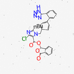 CCCCc1nc(Cl)c(C(=O)OC2OC(=O)c3ccccc32)n1Cc1ccc(-c2ccccc2-c2nnn[nH]2)cc1